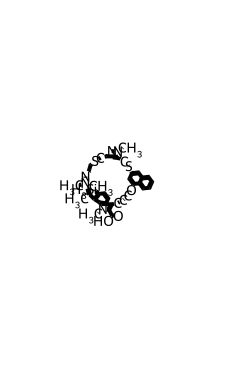 C/C1=C(/C)N(C)/N=C/CSCc2cc(n(C)n2)CSc2cc(c3ccccc3c2)OCCCc2c(C(=O)O)n(C)c3c1c([SiH3])ccc23